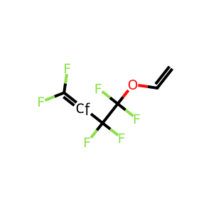 C=COC(F)(F)[C](F)(F)[Cf]=[C](F)F